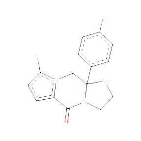 O=C1c2ccc(Br)n2CC2(c3ccc(Cl)cc3)NCCN12